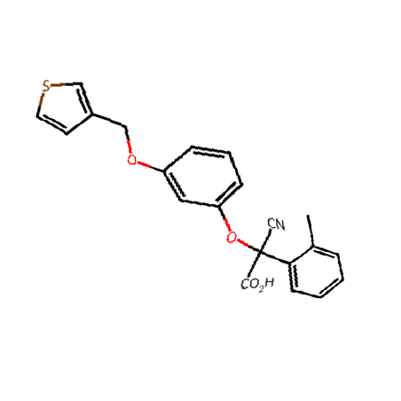 Cc1ccccc1C(C#N)(Oc1cccc(OCc2ccsc2)c1)C(=O)O